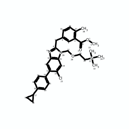 COC(=O)c1cc(Cc2nc3cc(-c4ccc(C5CC5)cc4)c(Cl)cc3n2COCC[Si](C)(C)C)ccc1C